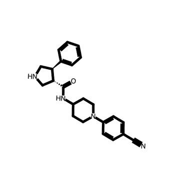 N#Cc1ccc(N2CCC(NC(=O)[C@@H]3CNC[C@H]3c3ccccc3)CC2)cc1